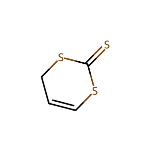 S=C1SC=CCS1